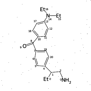 CCC(CN)c1ccc(C(=O)c2ccc(N(CC)CC)cc2)cc1